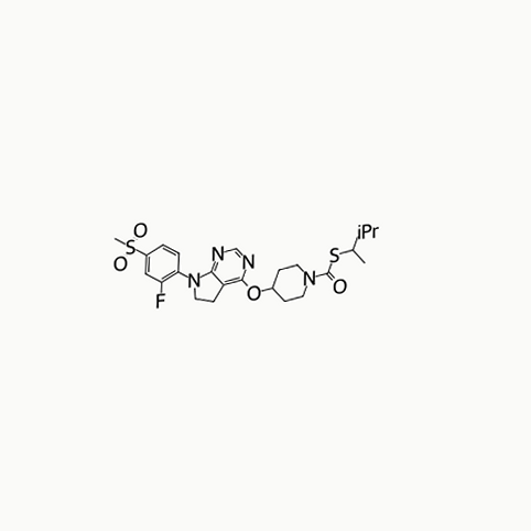 CC(C)C(C)SC(=O)N1CCC(Oc2ncnc3c2CCN3c2ccc(S(C)(=O)=O)cc2F)CC1